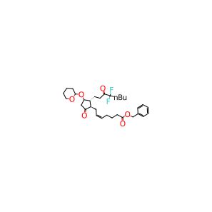 CCCCC(F)(F)C(=O)CC[C@H]1C(OC2CCCCO2)CC(=O)[C@@H]1C/C=C\CCCC(=O)OCc1ccccc1